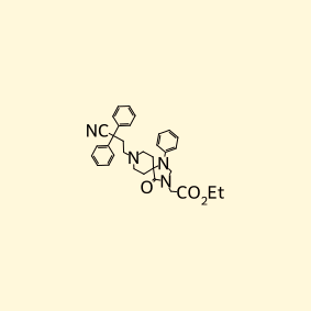 CCOC(=O)CN1CN(c2ccccc2)C2(CCN(CCC(C#N)(c3ccccc3)c3ccccc3)CC2)C1=O